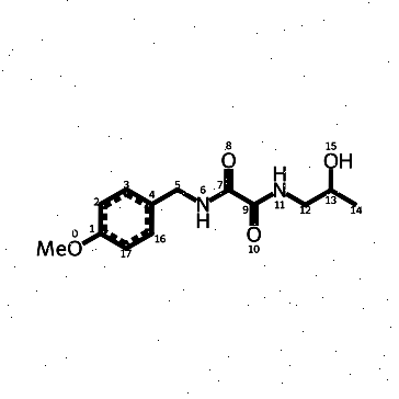 COc1ccc(CNC(=O)C(=O)NCC(C)O)cc1